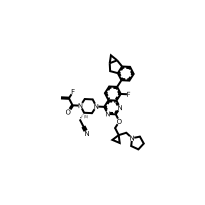 C=C(F)C(=O)N1CCN(c2nc(OCC3(CN4CCCC4)CC3)nc3c(F)c(-c4cccc5c4CC4CC54)ccc23)C[C@@H]1CC#N